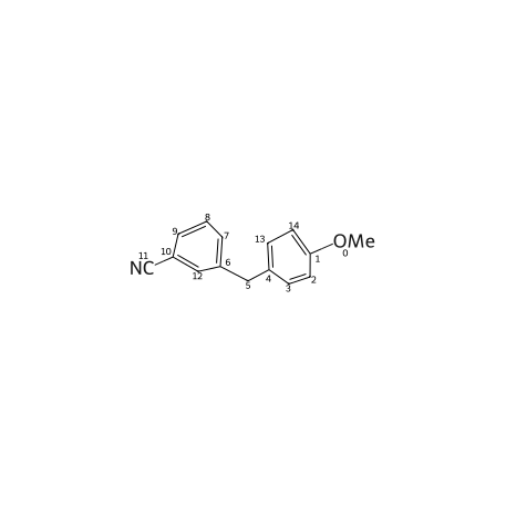 COc1ccc(Cc2cccc(C#N)c2)cc1